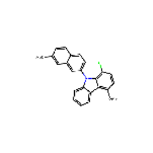 COc1ccc2ccc(-n3c4ccccc4c4c(OC)ccc(Cl)c43)cc2c1